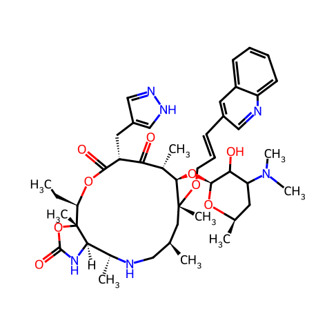 CC[C@H]1OC(=O)[C@H](Cc2cn[nH]c2)C(=O)[C@H](C)[C@@H](O[C@@H]2O[C@H](C)CC(N(C)C)C2O)[C@](C)(OC/C=C/c2cnc3ccccc3c2)C[C@@H](C)CN[C@H](C)[C@H]2NC(=O)O[C@@]21C